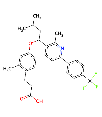 Cc1cc(OC(CC(C)C)c2ccc(-c3ccc(C(F)(F)F)cc3)nc2C)ccc1CCC(=O)O